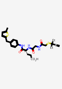 C=BC(CC)(CC)SCC(=O)NCC(=O)N[C@H](CCC(=O)O)C(=O)Nc1ccc(Cc2ccc(C)s2)cc1